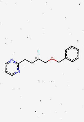 F[C@@H](CCc1ncccn1)COCc1ccccc1